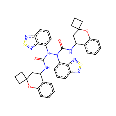 O=C(NC1CC2(CCC2)Oc2ccccc21)N(c1cccc2nsnc12)N(C(=O)NC1CC2(CCC2)Oc2ccccc21)c1cccc2nsnc12